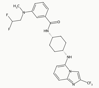 CN(CC(F)F)c1cccc(C(=O)N[C@H]2CC[C@@H](Nc3cccc4nc(C(F)(F)F)cn34)CC2)c1